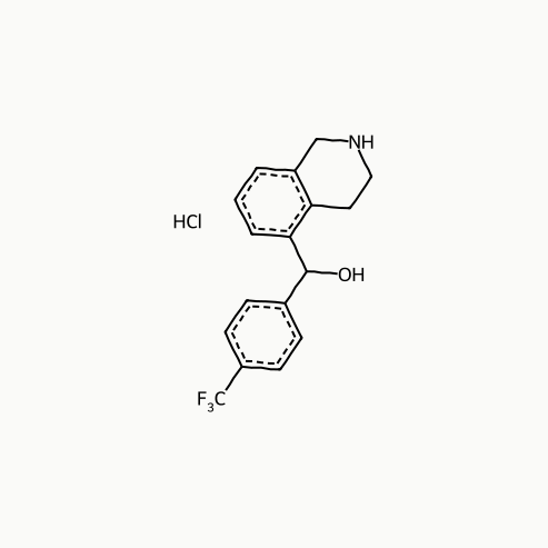 Cl.OC(c1ccc(C(F)(F)F)cc1)c1cccc2c1CCNC2